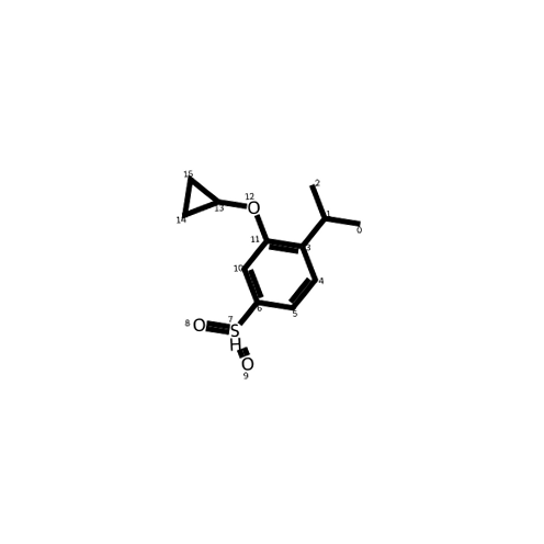 CC(C)c1ccc([SH](=O)=O)cc1OC1CC1